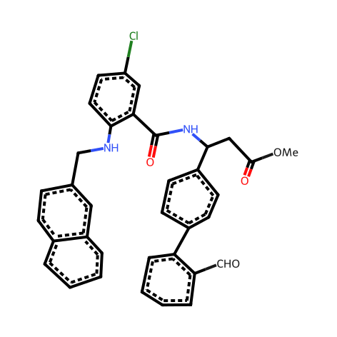 COC(=O)CC(NC(=O)c1cc(Cl)ccc1NCc1ccc2ccccc2c1)c1ccc(-c2ccccc2C=O)cc1